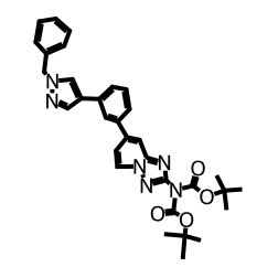 CC(C)(C)OC(=O)N(C(=O)OC(C)(C)C)c1nc2cc(-c3cccc(-c4cnn(Cc5ccccc5)c4)c3)ccn2n1